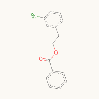 O=C(OCCc1cccc(Br)c1)c1ccccc1